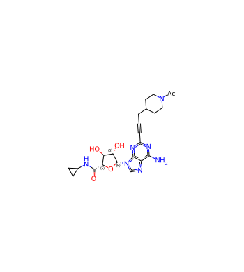 CC(=O)N1CCC(CC#Cc2nc(N)c3ncn([C@@H]4O[C@H](C(=O)NC5CC5)C(O)[C@@H]4O)c3n2)CC1